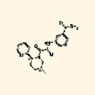 C[C@@H]1CC[C@@H](c2ccccn2)N(C(=O)C(=O)Nc2cncc(C(N)=O)c2)C1